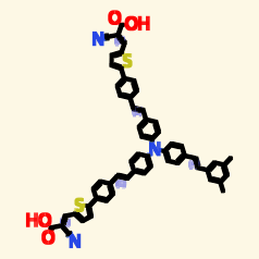 Cc1cc(C)cc(/C=C/c2ccc(N(c3ccc(/C=C/c4ccc(-c5ccc(/C=C(\C#N)C(=O)O)s5)cc4)cc3)c3ccc(/C=C/c4ccc(-c5ccc(/C=C(\C#N)C(=O)O)s5)cc4)cc3)cc2)c1